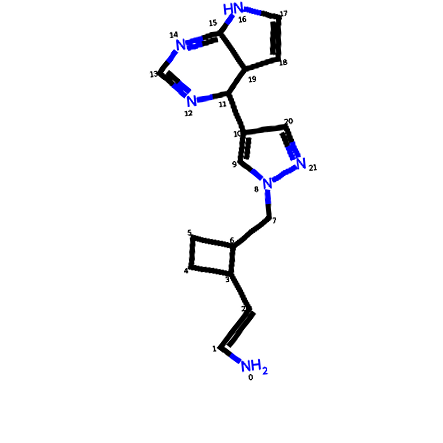 N/C=C/C1CCC1Cn1cc(C2N=CN=C3NC=CC32)cn1